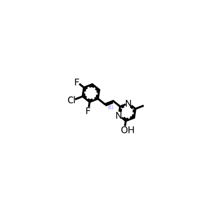 Cc1cc(O)nc(/C=C/c2ccc(F)c(Cl)c2F)n1